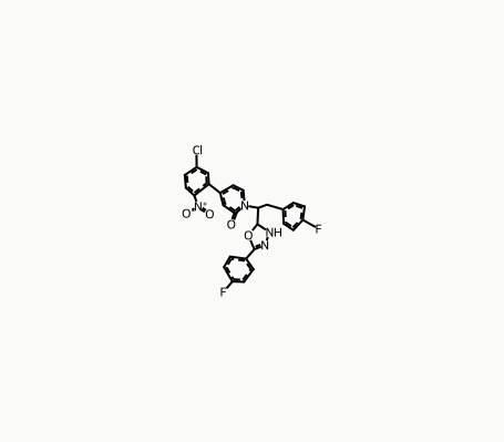 O=c1cc(-c2cc(Cl)ccc2[N+](=O)[O-])ccn1C(Cc1ccc(F)cc1)C1NN=C(c2ccc(F)cc2)O1